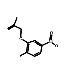 C=C(C)COc1cc([N+](=O)[O-])ccc1C